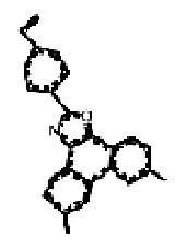 C=Cc1ccc(-c2nc3c4ccc(C)cc4c4cc(C)ccc4c3o2)cc1